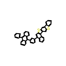 c1ccc(-c2c3ccccc3c(-c3cccc(-c4cc5sc6cc7c(cc6c5c5ccccc45)sc4ccccc47)c3)c3ccccc23)cc1